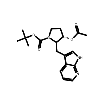 CC(=O)O[C@H]1CCN(C(=O)OC(C)(C)C)[C@@H]1Cc1c[nH]c2ncccc12